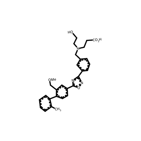 COCc1cc(-c2nc(-c3cccc(CN(CCO)CCC(=O)O)c3)no2)ccc1-c1ccccc1C